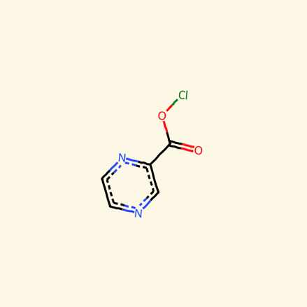 O=C(OCl)c1cnccn1